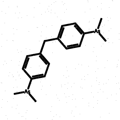 C[As](C)c1ccc(Cc2ccc([As](C)C)cc2)cc1